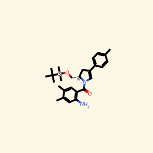 Cc1ccc(C2=CN(C(=O)c3cc(C)c(C)cc3N)[C@H](CO[Si](C)(C)C(C)(C)C)C2)cc1